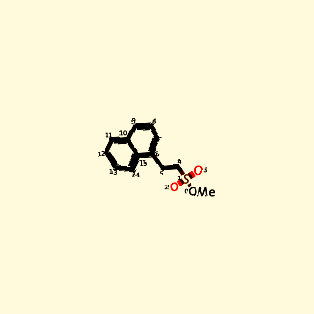 COS(=O)(=O)CCc1cccc2ccccc12